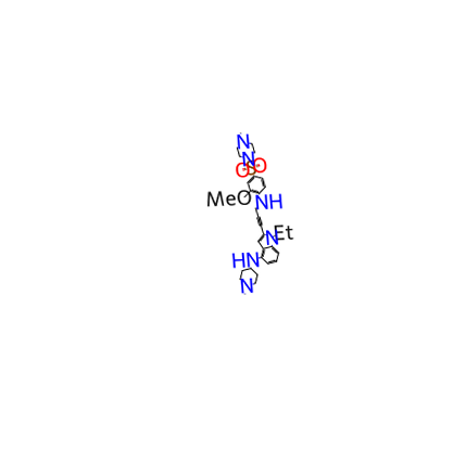 CCn1c(C#CCNc2ccc(S(=O)(=O)N3CCN(C)CC3)cc2OC)cc2c(NC3CCN(C)CC3)cccc21